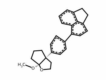 CO[C@]12CCC[C@@]1(c1ccc(-c3ccc4c5c(cccc35)CC4)cc1)CCO2